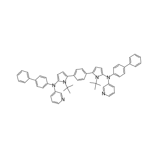 CC(C)(C)n1c(-c2ccc(-c3ccc(N(c4ccc(-c5ccccc5)cc4)c4cccnc4)n3C(C)(C)C)cc2)ccc1N(c1ccc(-c2ccccc2)cc1)c1cccnc1